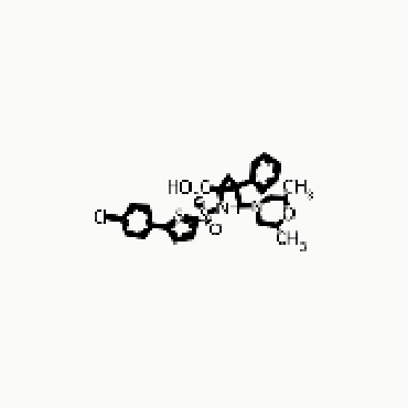 C[C@@H]1CN(CC2(c3ccccc3)CC2(NS(=O)(=O)c2ccc(-c3ccc(Cl)cc3)s2)C(=O)O)C[C@H](C)O1